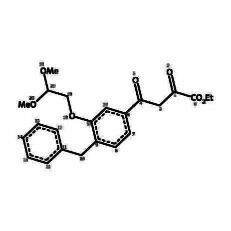 CCOC(=O)C(=O)CC(=O)c1ccc(Cc2ccccc2)c(OCC(OC)OC)c1